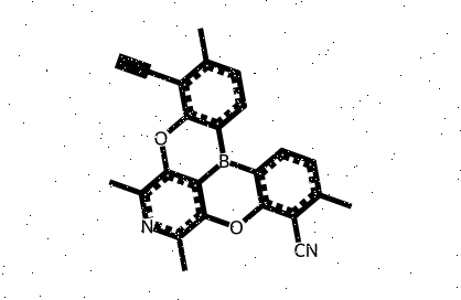 C#Cc1c(C)ccc2c1Oc1c(C)nc(C)c3c1B2c1ccc(C)c(C#N)c1O3